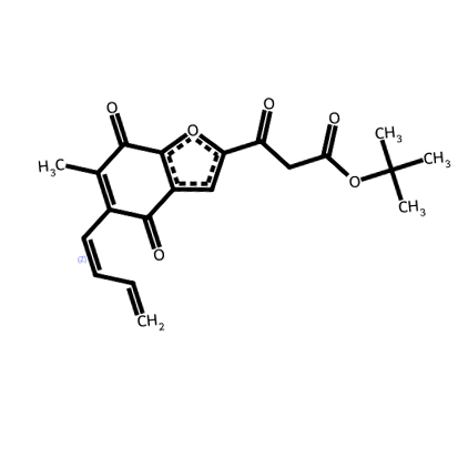 C=C/C=C\C1=C(C)C(=O)c2oc(C(=O)CC(=O)OC(C)(C)C)cc2C1=O